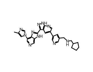 Cc1cn(-c2cncc3[nH]c(-c4n[nH]c5ncc(-c6cncc(CNCC7CCCC7)c6)cc45)nc23)cn1